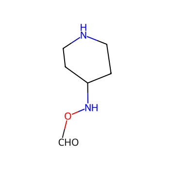 O=CONC1CCNCC1